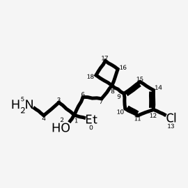 CCC(O)(CCN)CCC1(c2ccc(Cl)cc2)CCC1